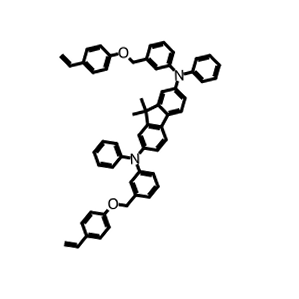 C=Cc1ccc(OCc2cccc(N(c3ccccc3)c3ccc4c(c3)C(C)(C)c3cc(N(c5ccccc5)c5cccc(COc6ccc(C=C)cc6)c5)ccc3-4)c2)cc1